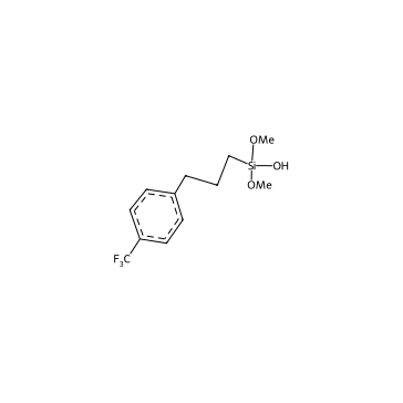 CO[Si](O)(CCCc1ccc(C(F)(F)F)cc1)OC